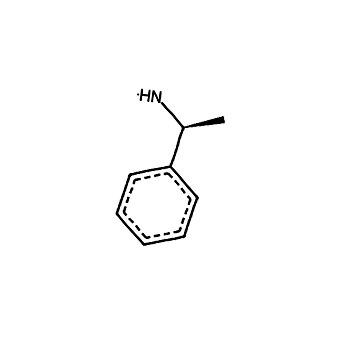 C[C@H]([NH])c1ccccc1